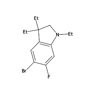 CCN1CC(CC)(CC)c2cc(Br)c(F)cc21